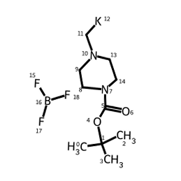 CC(C)(C)OC(=O)N1CCN([CH2][K])CC1.FB(F)F